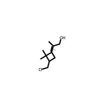 C/C(CO)=C1/CC(CCl)C1(C)C